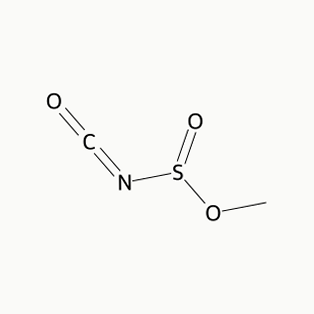 COS(=O)N=C=O